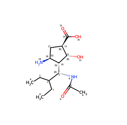 CCC(CC)[C@@H](NC(C)=O)[C@H]1[C@@H](O)[C@H](C(=O)O)C[C@@H]1N